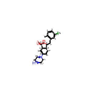 Cc1ccc(F)cc1CC1OC(=O)c2cc(N3CCNCC3)ccc21